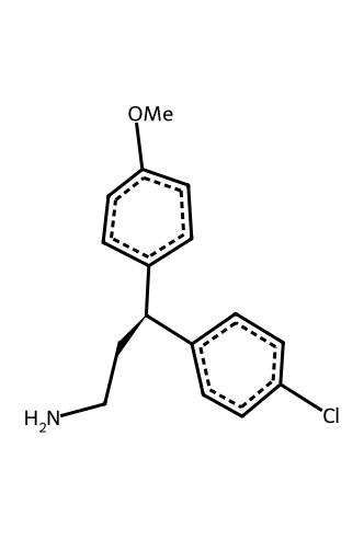 COc1ccc([C@H](CCN)c2ccc(Cl)cc2)cc1